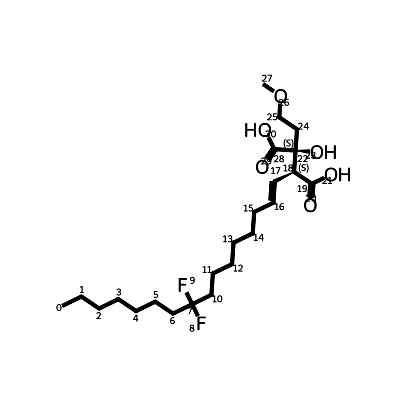 CCCCCCCC(F)(F)CCCCCCC=C[C@H](C(=O)O)[C@@](O)(CCOC)C(=O)O